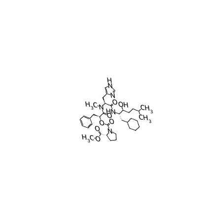 COC(=O)[C@H]1CCCN1C(=O)O[C@@H](Cc1ccccc1)C(=O)N(C)[C@@H](Cc1c[nH]cn1)C(=O)N[C@@H](CC1CCCCC1)[C@@H](O)CCC(C)C